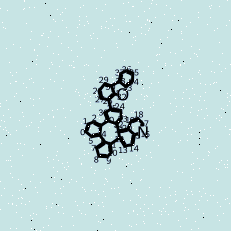 c1ccc2c(c1)-c1ccccc1-c1ccc3ncccc3c1-c1ccc(-c3cccc4c3oc3ccccc34)cc1-2